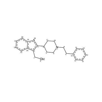 OCc1c(C2CCN(CCc3ccccc3)CC2)sc2ccccc12